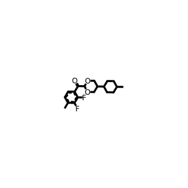 Cc1ccc(C(=O)C2OCC(C3CCC(C)CC3)CO2)c(F)c1F